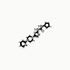 O=C(Nc1nnc(N2CCN(c3ccccn3)CC2)s1)NC1CCCC1